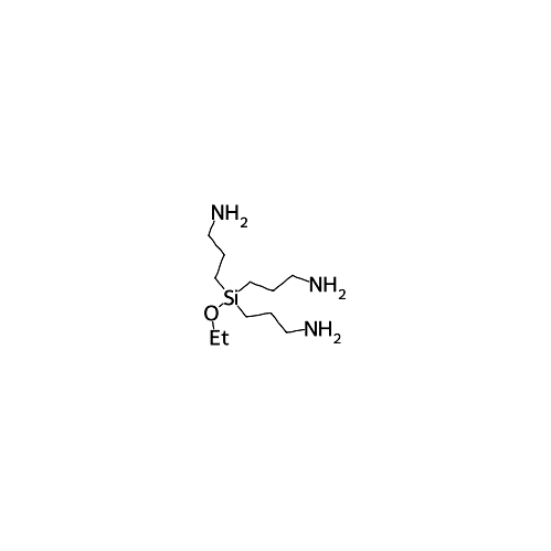 CCO[Si](CCCN)(CCCN)CCCN